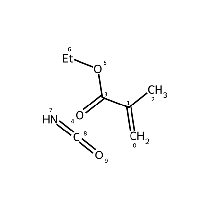 C=C(C)C(=O)OCC.N=C=O